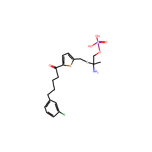 CC(N)(CCc1ccc(C(=O)CCCCc2cccc(F)c2)s1)COP(=O)(O)O